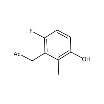 CC(=O)Cc1c(F)ccc(O)c1C